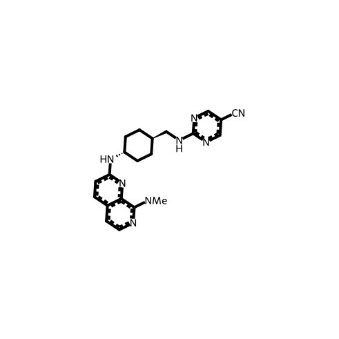 CNc1nccc2ccc(N[C@H]3CC[C@H](CNc4ncc(C#N)cn4)CC3)nc12